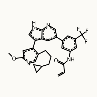 C=CC(=O)Nc1cc(-c2cnc3[nH]cc(-c4cc(OC)ncc4CCCC4CC4)c3c2)cc(C(F)(F)F)c1